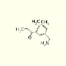 CC.CCC(=O)c1cccc(CN)c1